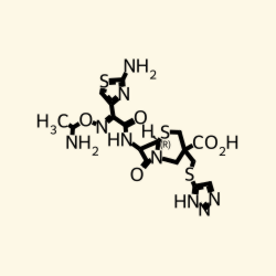 CC(N)ON=C(C(=O)NC1C(=O)N2CC(CSc3cnn[nH]3)(C(=O)O)CS[C@H]12)c1csc(N)n1